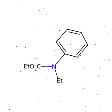 CCOC(=O)N(CC)c1ccccc1